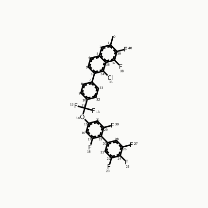 Cc1cc2ccc(-c3ccc(C(F)(F)Oc4cc(F)c(-c5cc(F)c(F)c(F)c5)c(F)c4)cc3)c(Cl)c2c(F)c1F